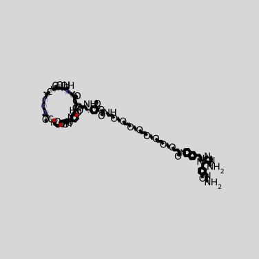 CO[C@H]1C[C@@H]2CC[C@@H](C)[C@@](O)(O2)C(=O)C(=O)N2CCCC[C@H]2C(=O)O[C@H](C[C@H](O)[C@H](N)C[C@@H]2CC[C@@H](OC(=O)NCCOCCOCCOCCOCCOCCOCCOCCOCCC(=O)N3CCc4cc(Cn5nc(-c6ccc7oc(N)nc7c6)c6c(N)ncnc65)ccc4C3)[C@H](OC)C2)CC(=O)[C@H](C)/C=C(\C)[C@@H](O)[C@@H](O)C(=O)[C@H](C)C[C@H](C)/C=C/C=C/C=C/1C